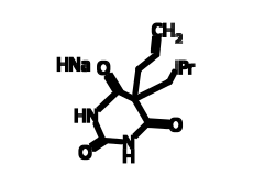 C=CCC1(CC(C)C)C(=O)NC(=O)NC1=O.[NaH]